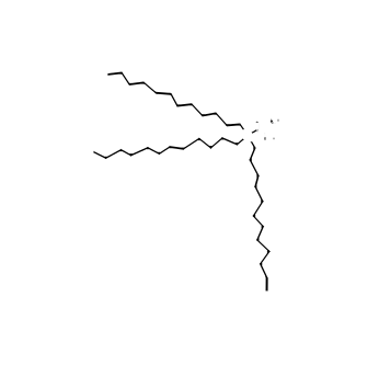 CCCCCCCCCCCCS(CCCCCCCCCCCC)(CCCCCCCCCCCC)[PH](O)(O)O